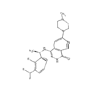 C[C@@H](Nc1n[nH]c(=O)c2cnc(N3CCN(C)CC3)cc12)c1cccc(C(F)F)c1F